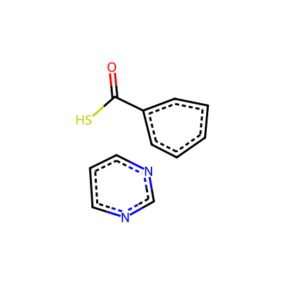 O=C(S)c1ccccc1.c1cncnc1